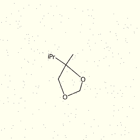 CC(C)C1(C)COCO1